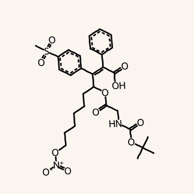 CC(C)(C)OC(=O)NCC(=O)OC(CCCCCCO[N+](=O)[O-])/C(=C(\C(=O)O)c1ccccc1)c1ccc(S(C)(=O)=O)cc1